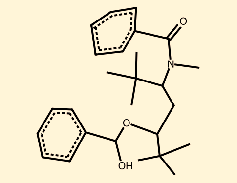 CN(C(=O)c1ccccc1)C(CC(OC(O)c1ccccc1)C(C)(C)C)C(C)(C)C